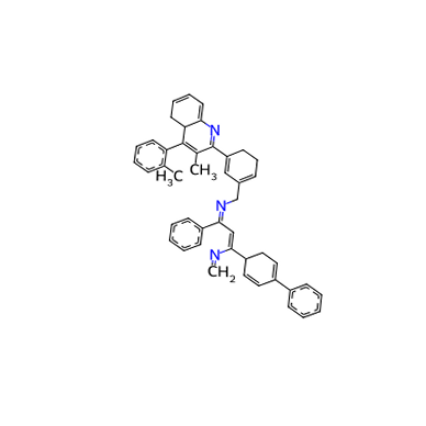 C=N/C(=C\C(=N/CC1=CCCC(C2=NC3=CC=CCC3C(c3ccccc3C)=C2C)=C1)c1ccccc1)C1C=CC(c2ccccc2)=CC1